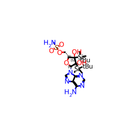 CC(C)(C)[Si](C)(C)[C@@]1(O)[C@@H](COS(N)(=O)=O)O[C@@H](n2cnc3c(N)ncnc32)[C@@]1(O)[Si](C)(C)C(C)(C)C